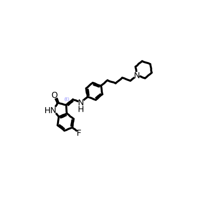 O=C1Nc2ccc(F)cc2/C1=C\Nc1ccc(CCCCN2CCCCC2)cc1